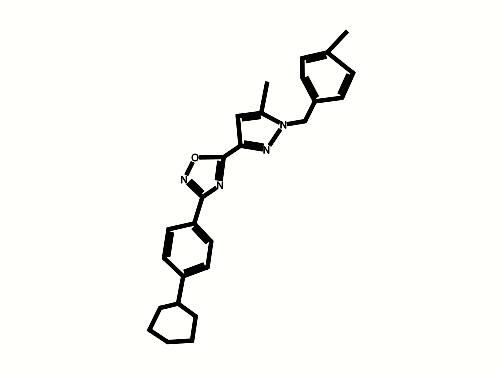 Cc1ccc(Cn2nc(-c3nc(-c4ccc(C5CCCCC5)cc4)no3)cc2C)cc1